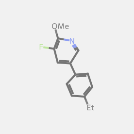 CCc1ccc(-c2cnc(OC)c(F)c2)cc1